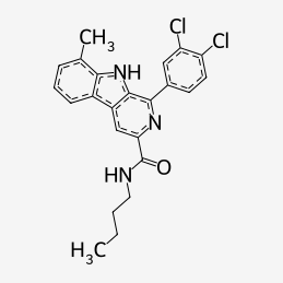 CCCCNC(=O)c1cc2c([nH]c3c(C)cccc32)c(-c2ccc(Cl)c(Cl)c2)n1